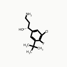 CC(C)(C)c1cc([C@H](O)CCN)cc(Cl)c1F